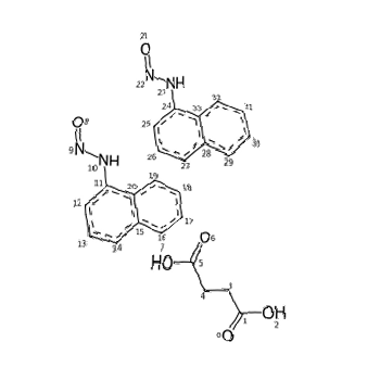 O=C(O)CCC(=O)O.O=NNc1cccc2ccccc12.O=NNc1cccc2ccccc12